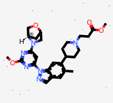 COC(=O)CCN1CCC(c2cc3c(cnn3-c3cc(N4CC5C[C@@H]4CO5)nc(OC)n3)cc2C)CC1